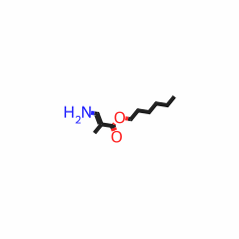 CCCCCCOC(=O)C(C)=CN